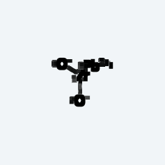 [O-][Zr][O-].[Pb+2]